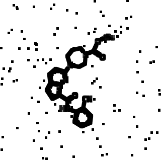 CC(C)(C)OC(=O)N1CCCN(c2ccc3ccc(C(=O)Nc4ccccc4C#N)n3n2)CC1